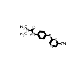 CN(C)C(=O)Nc1ccc(Sc2cncc(C#N)n2)cc1